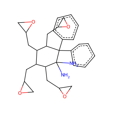 NC1(N)C(CC2CO2)C(CC2CO2)C(CC2CO2)C(CC2CO2)C1(c1ccccc1)c1ccccc1